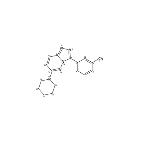 N#Cc1cccc(-c2nnc3ccc(N4CCCCC4)nn23)c1